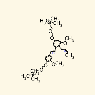 C/C=C\Cc1c(/C=C/c2ccc(OCOCC[Si](C)(C)C)c(OC)c2)cc(OCOCC[Si](C)(C)C)cc1OC